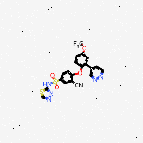 N#Cc1cc(S(=O)(=O)Nc2nncs2)ccc1Oc1ccc(OC(F)(F)F)cc1-c1ccnnc1